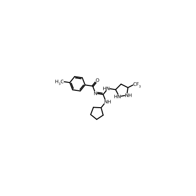 Cc1ccc(C(=O)/N=C(/NC2CCCC2)NC2CC(C(F)(F)F)NN2)cc1